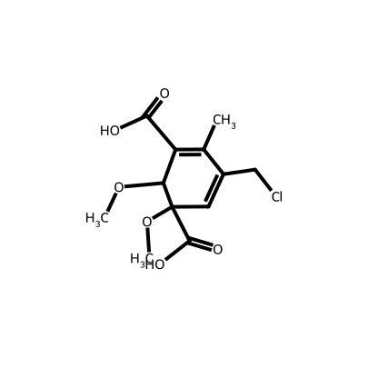 COC1C(C(=O)O)=C(C)C(CCl)=CC1(OC)C(=O)O